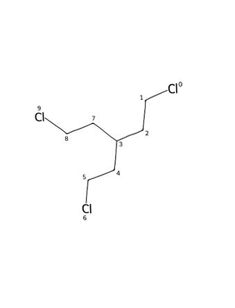 ClCCC(CCCl)CCCl